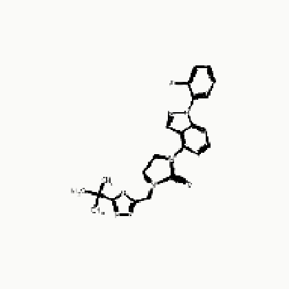 CC(C)(C)c1nnc(CN2CCN(c3cccc4c3cnn4-c3ccccc3F)C2=O)o1